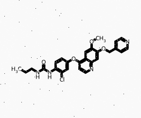 CCCNC(=O)Nc1ccc(Oc2ccnc3cc(OCc4ccncc4)c(OC)cc23)cc1Cl